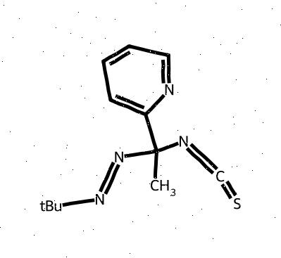 CC(C)(C)/N=N/C(C)(N=C=S)c1ccccn1